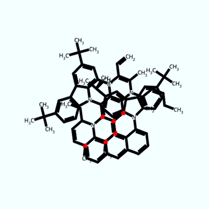 C=CC1=C(C)N(C(=C)/C=C\CC)c2cc(-c3c4c(N(C/C=C\CC)C(/C=C\CC)CC)cccc4cc4cccc(-n5c6ccc(C(C)(C)C)cc6c6cc(C(C)(C)C)ccc65)c34)cc3c2B1c1cc(C(C)(C)C)cc2c4cc(C(C)(C)C)ccc4n-3c12